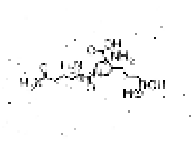 NC(=O)CCC[C@H](N)C(=O)N1CC(CCCB(O)O)[C@](N)(C(=O)O)C1